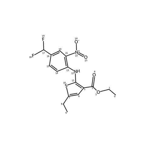 CCOC(=O)c1cc(CC)sc1Nc1ccc(C(F)F)cc1[N+](=O)[O-]